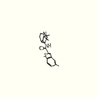 Cc1ccc2sc(C(=O)NC3C4CCN(CC4)C3(C)C)cc2c1